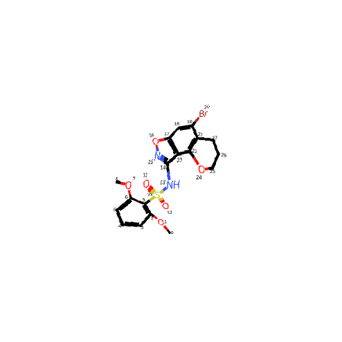 COc1cccc(OC)c1S(=O)(=O)Nc1noc2cc(Br)c3c(c12)OCCC3